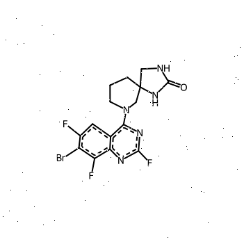 O=C1NCC2(CCCN(c3nc(F)nc4c(F)c(Br)c(F)cc34)C2)N1